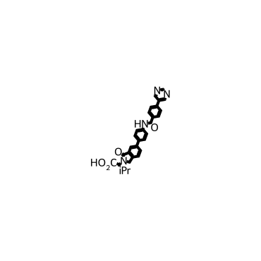 CC(C)C(C(=O)O)N1Cc2ccc(-c3ccc(NC(=O)c4ccc(-c5cncnc5)cc4)cc3)cc2C1=O